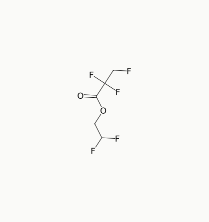 O=C(OCC(F)F)C(F)(F)CF